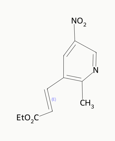 CCOC(=O)/C=C/c1cc([N+](=O)[O-])cnc1C